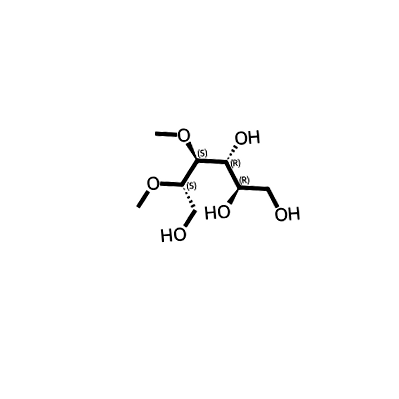 CO[C@@H]([C@H](O)[C@H](O)CO)[C@H](CO)OC